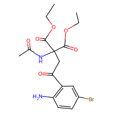 CCOC(=O)C(CC(=O)c1cc(Br)ccc1N)(NC(C)=O)C(=O)OCC